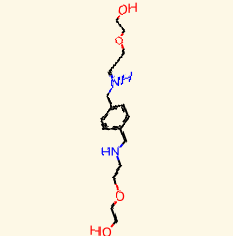 OCCOCCNCc1ccc(CNCCOCCO)cc1